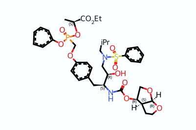 CCOC(=O)[C@H](C)OP(=O)(COc1ccc(C[C@H](NC(=O)O[C@H]2CO[C@H]3OCC[C@H]32)[C@H](O)CN(CC(C)C)S(=O)(=O)c2ccccc2)cc1)Oc1ccccc1